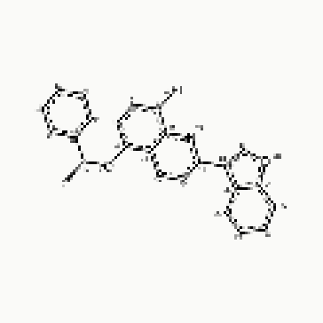 CCc1ccc(O[C@@H](C)c2ccccc2)c2ccc(-c3coc4ccccc34)nc12